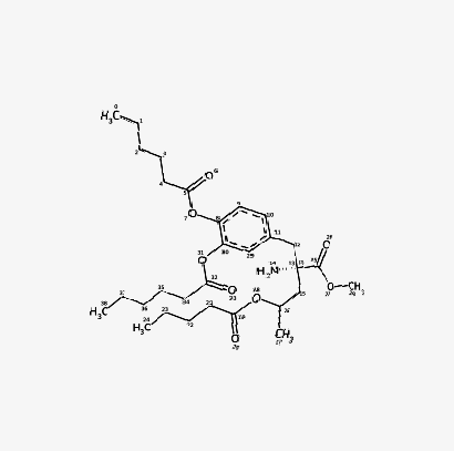 CCCCCC(=O)Oc1ccc(C[C@](N)(CC(C)OC(=O)CCCC)C(=O)OC)cc1OC(=O)CCCCC